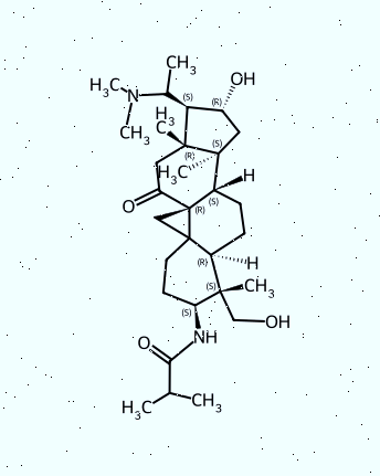 CC(C)C(=O)N[C@H]1CCC23C[C@]24C(=O)C[C@]2(C)[C@@H](C(C)N(C)C)[C@H](O)C[C@@]2(C)[C@@H]4CC[C@H]3[C@]1(C)CO